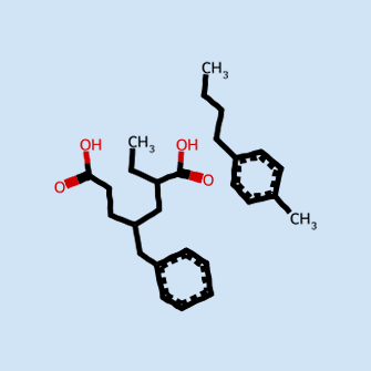 CCC(CC(CCC(=O)O)Cc1ccccc1)C(=O)O.CCCCc1ccc(C)cc1